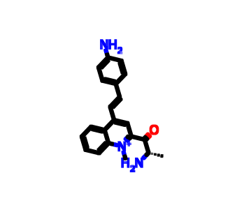 C[C@H](N)C(=O)c1cc(C=Cc2ccc(N)cc2)c2ccccc2[n+]1C